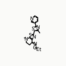 CCO/N=C1\CCN(C)c2sc(-c3sc(-c4cccnc4)nc3C)nc21